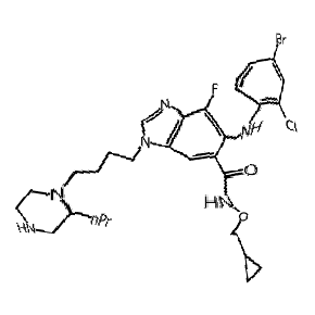 CCCC1CNCCN1CCCCn1cnc2c(F)c(Nc3ccc(Br)cc3Cl)c(C(=O)NOCC3CC3)cc21